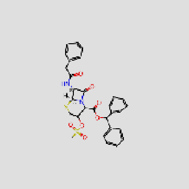 CS(=O)(=O)OC1CS[C@H]2[C@H](NC(=O)Cc3ccccc3)C(=O)N2C1C(=O)OC(c1ccccc1)c1ccccc1